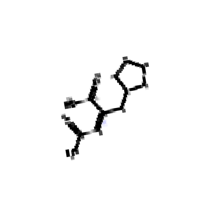 O=C(O)/C=C(/CC1CCCC1)C(=O)O